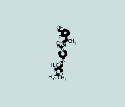 C=N/C(=N\C=C(/C)c1cccc(CO)c1F)N1CCC(=NOCC2(C)COC(C)(C)OC2)CC1